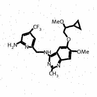 COc1cc2nc(C)nc(NCc3cc(C(F)(F)F)cc(N)n3)c2cc1OCC(OC)C1CC1